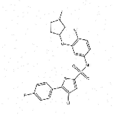 CN1CCC(Oc2cc(NS(=O)(=O)c3cc(Cl)c(-c4ccc(F)cc4)s3)ccc2Cl)C1